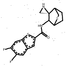 O=C(NC1C2CCC(CC2)[C@@]12CN2)c1cc2cc(F)c(F)cc2s1